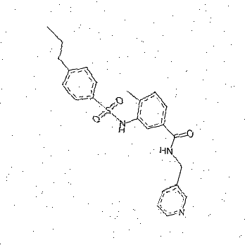 CCCc1ccc(S(=O)(=O)Nc2cc(C(=O)NCc3cccnc3)ccc2C)cc1